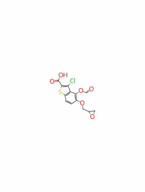 O=COc1c(OCC2CO2)ccc2sc(C(=O)O)c(Cl)c12